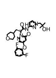 CC(C)(O)Cn1ccc(NC(=O)[C@H](CC2CCOCC2)n2ncc(Oc3c(F)cccc3F)cc2=O)n1